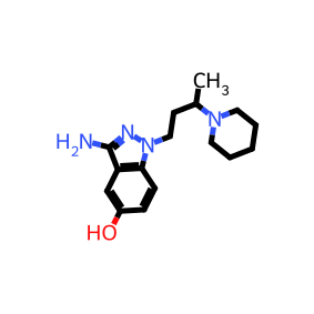 CC(CCn1nc(N)c2cc(O)ccc21)N1CCCCC1